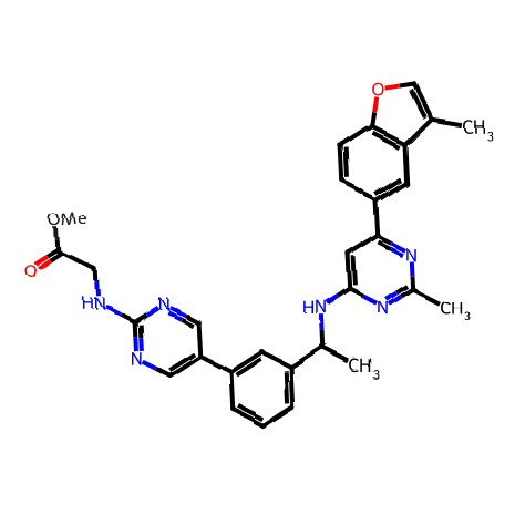 COC(=O)CNc1ncc(-c2cccc(C(C)Nc3cc(-c4ccc5occ(C)c5c4)nc(C)n3)c2)cn1